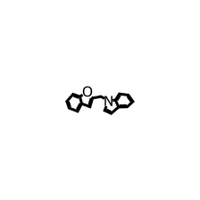 c1ccc2oc(Cn3ccc4ccccc43)cc2c1